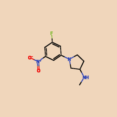 CNC1CCN(c2cc(F)cc([N+](=O)[O-])c2)C1